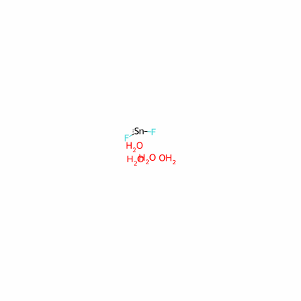 O.O.O.O.[F][Sn][F]